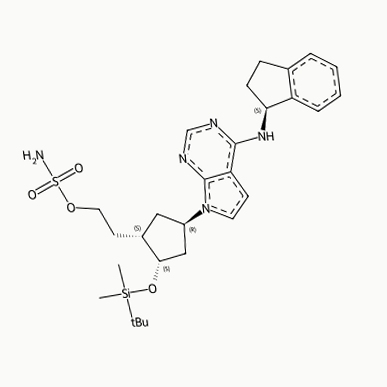 CC(C)(C)[Si](C)(C)O[C@H]1C[C@H](n2ccc3c(N[C@H]4CCc5ccccc54)ncnc32)C[C@H]1CCOS(N)(=O)=O